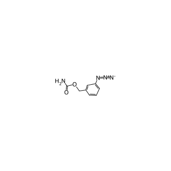 [N-]=[N+]=Nc1cccc(COC(N)=O)c1